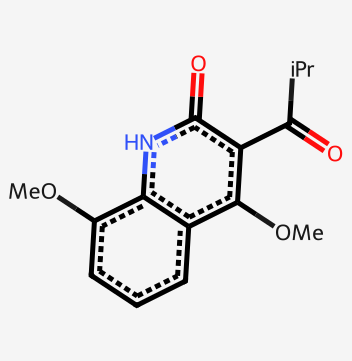 COc1c(C(=O)C(C)C)c(=O)[nH]c2c(OC)cccc12